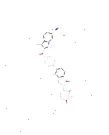 Cc1c(C(=O)N2CCC(c3ccc4c(c3F)CN(C3CCC(=O)NC3=O)C4=O)CC2)[nH]c2cc(C#N)ccc12